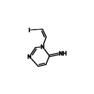 N=c1ccncn1/C=C\I